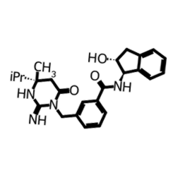 CC(C)[C@]1(C)CC(=O)N(Cc2cccc(C(=O)N[C@@H]3c4ccccc4C[C@H]3O)c2)C(=N)N1